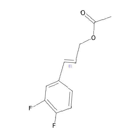 CC(=O)OC/C=C/c1ccc(F)c(F)c1